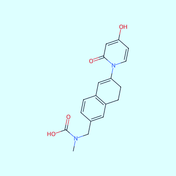 CN(Cc1ccc2c(c1)CCC(n1ccc(O)cc1=O)=C2)C(=O)O